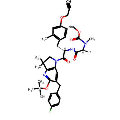 C#CCOc1ccc(C[C@H](NC(=O)[C@H](CC)N(C)C(=O)OC(C)(C)C)C(=O)N2CC(C)(C)c3nc(O[Si](C)(C)C(C)(C)C)c(Cc4ccc(F)cc4)cc32)c(C)c1